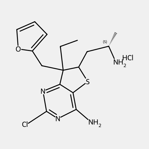 CCC1(Cc2ccco2)c2nc(Cl)nc(N)c2SC1C[C@H](C)N.Cl